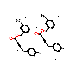 Cc1ccc(CC#CC(=O)OCc2cccc(C#N)c2)cc1.Cc1ccc(CC#CC(=O)OCc2cccc(C#N)c2)cc1